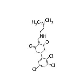 CN(C)CCNC=C1C(=O)CC(c2cc(Cl)cc(Cl)c2Cl)CC1=O